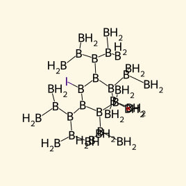 BBB(B)B(B(B)B)B(B(I)B(B(B(B)B)B(B)B)B(B(B)B)B(B)B)B(B(B)B)B(B)B